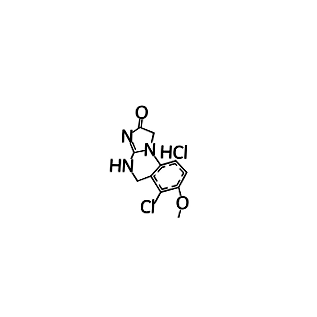 COc1ccc2c(c1Cl)CNC1=NC(=O)CN12.Cl